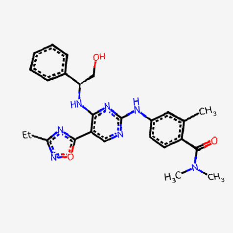 CCc1noc(-c2cnc(Nc3ccc(C(=O)N(C)C)c(C)c3)nc2N[C@H](CO)c2ccccc2)n1